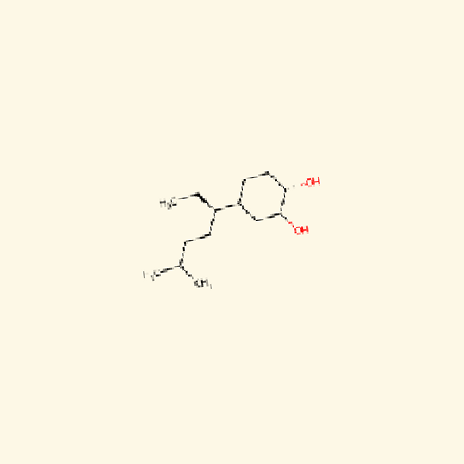 CC[C@H](CCC(C)C)C1CC[C@H](O)C(O)C1